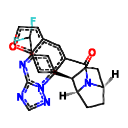 O=C(c1ccc2occc2c1)N1[C@H]2CC[C@H](c3cc(C(F)F)nc4ncnn34)[C@@H]1CC2